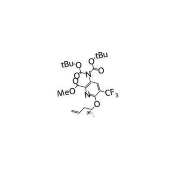 C=CC[C@@H](C)Oc1nc(C(=O)OC)c(N(C(=O)OC(C)(C)C)C(=O)OC(C)(C)C)cc1C(F)(F)F